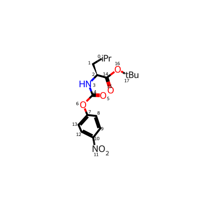 CC(C)C[C@H](NC(=O)Oc1ccc([N+](=O)[O-])cc1)C(=O)OC(C)(C)C